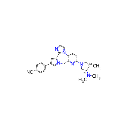 C[C@H]1CN(c2ccc3c(n2)Cn2cc(-c4ccc(C#N)cc4)cc2-c2nccn2-3)C[C@@H]1N(C)C